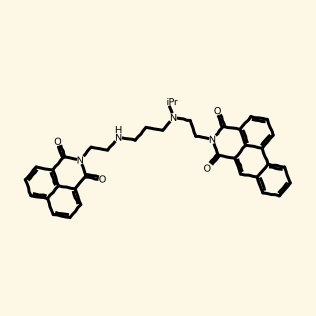 CC(C)N(CCCNCCN1C(=O)c2cccc3cccc(c23)C1=O)CCN1C(=O)c2cccc3c2c(cc2ccccc23)C1=O